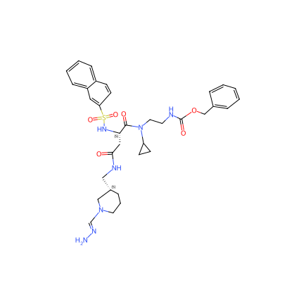 NN=CN1CCC[C@@H](CNC(=O)C[C@H](NS(=O)(=O)c2ccc3ccccc3c2)C(=O)N(CCNC(=O)OCc2ccccc2)C2CC2)C1